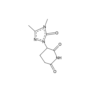 Cc1nn(C2CCC(=O)NC2=O)c(=O)n1C